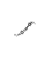 CCCC[C@H]1CC[C@H](COc2ccc(C#Cc3ccc(CC)cc3)cc2)CC1